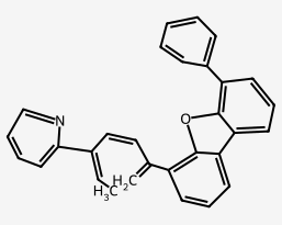 C=C(/C=C\C(=C/C)c1ccccn1)c1cccc2c1oc1c(-c3ccccc3)cccc12